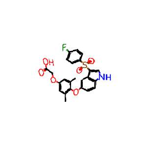 Cc1cc(OCC(=O)O)cc(C)c1Oc1ccc2[nH]cc(S(=O)(=O)c3ccc(F)cc3)c2c1